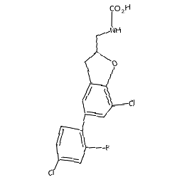 O=C(O)NCC1Cc2cc(-c3ccc(Cl)cc3F)cc(Cl)c2O1